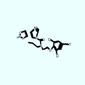 C1=CON[N]1.CCCN(CCOc1c(Cl)cc(Cl)cc1Cl)C(=O)n1ccnc1